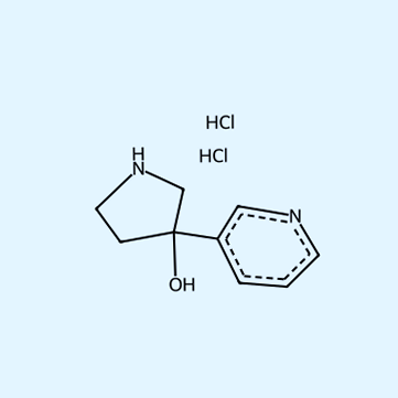 Cl.Cl.OC1(c2cccnc2)CCNC1